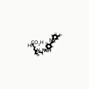 O=C(O)NCCc1csc(C=NNc2ccc(-c3cn4cc(I)ccc4n3)cc2)n1